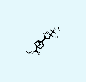 COC(=O)C12CCC(C3=NOC(O)(C(C)(F)F)C3)=C(C1)C2